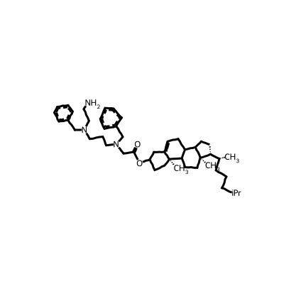 CC(C)CCC[C@@H](C)[C@H]1CCC2C3CC=C4CC(OC(=O)CN(CCCN(CCN)Cc5ccccc5)Cc5ccccc5)CC[C@]4(C)C3CC[C@@]21C